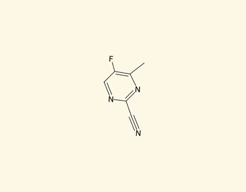 Cc1nc(C#N)ncc1F